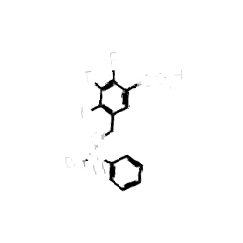 CC(C)(C)[SiH](OCc1cc(C(=O)O)c(F)c(F)c1F)c1ccccc1